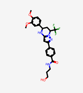 COc1ccc(C2CC(C(F)(F)F)n3nc(-c4ccc(C(=O)NCCCO)cc4)cc3N2)cc1OC